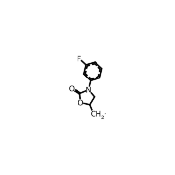 [CH2]C1CN(c2cccc(F)c2)C(=O)O1